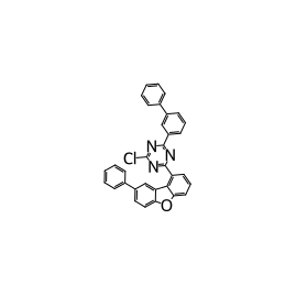 Clc1nc(-c2cccc(-c3ccccc3)c2)nc(-c2cccc3oc4ccc(-c5ccccc5)cc4c23)n1